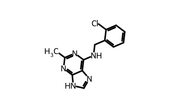 Cc1nc(NCc2ccccc2Cl)c2nc[nH]c2n1